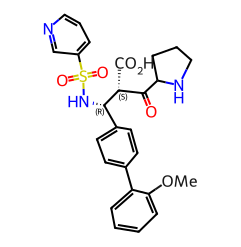 COc1ccccc1-c1ccc([C@H](NS(=O)(=O)c2cccnc2)[C@H](C(=O)O)C(=O)C2CCCN2)cc1